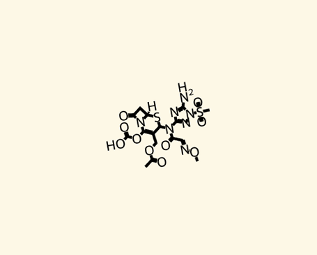 CON=CC(=O)N(c1nc(N)n(S(C)(=O)=O)n1)C1S[C@H]2CC(=O)N2C(OC(=O)O)=C1COC(C)=O